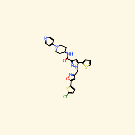 O=C(NC1CCN(c2ccncc2)CC1)c1cc(-c2cccs2)n(Cc2cc(-c3ccc(Cl)s3)on2)n1